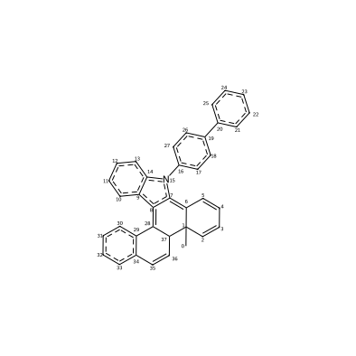 CC12C=CC=CC1=c1c(c3ccccc3n1-c1ccc(-c3ccccc3)cc1)=C1c3ccccc3C=CC12